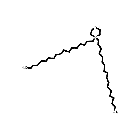 CCCCCCCCCCCCCCCCCC[N+]1(CCCCCCCCCCCCCCCCCC)CCOCC1.[Cl-]